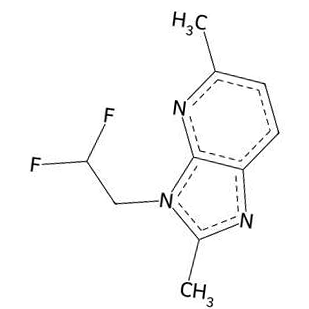 Cc1ccc2nc(C)n(CC(F)F)c2n1